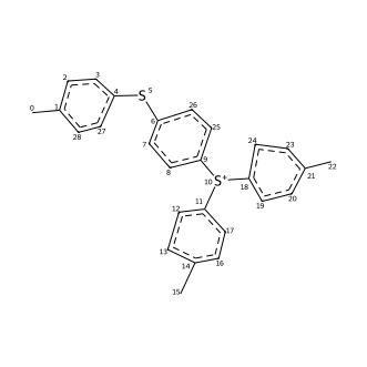 Cc1ccc(Sc2ccc([S+](c3ccc(C)cc3)c3ccc(C)cc3)cc2)cc1